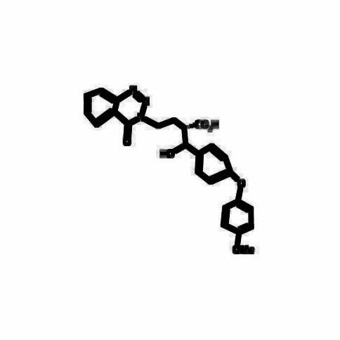 COc1ccc(Oc2ccc(C(O)[C@H](CCn3nnc4ccccc4c3=O)C(=O)O)cc2)cc1